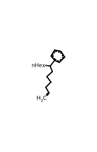 C=CCCCCC(CCCCCC)c1ccccc1